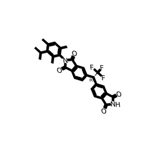 Cc1cc(C)c(N2C(=O)c3ccc([C@@H](c4ccc5c(c4)C(=O)NC5=O)C(F)(F)F)cc3C2=O)c(C)c1C(C)C